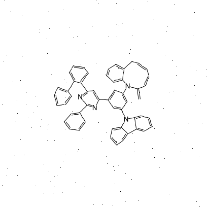 C=C1/C=C\C=C/Cc2ccccc2N1c1cc(-c2cc(-c3ccccc3-c3ccccc3)nc(-c3ccccc3)n2)cc(-n2c3ccccc3c3ccccc32)c1